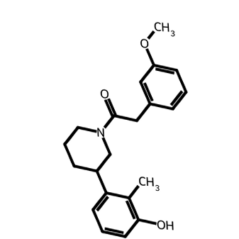 COc1cccc(CC(=O)N2CCCC(c3cccc(O)c3C)C2)c1